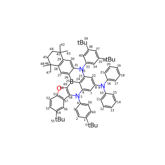 CC(C)(C)c1ccc(N2c3cc(N(c4ccccc4)c4ccccc4)cc4c3B(c3cc5c(cc3N4c3cc(C(C)(C)C)cc(C(C)(C)C)c3)C(C)(C)CCC5(C)C)c3oc4ccc(C(C)(C)C)cc4c32)cc1